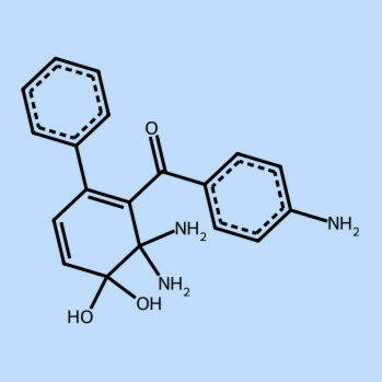 Nc1ccc(C(=O)C2=C(c3ccccc3)C=CC(O)(O)C2(N)N)cc1